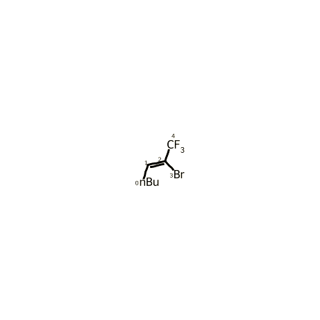 CCCCC=C(Br)C(F)(F)F